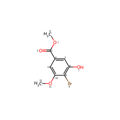 COC(=O)c1cc(O)c(Br)c(OC)c1